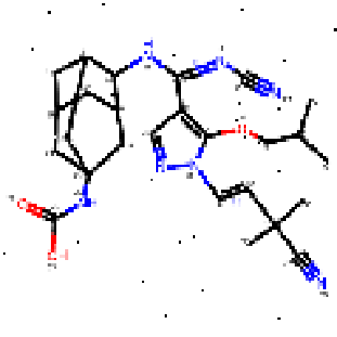 CC(C)COc1c(/C(=N\C#N)NC2C3CC4CC2CC(NC(=O)O)(C4)C3)cnn1/C=C/C(C)(C)C#N